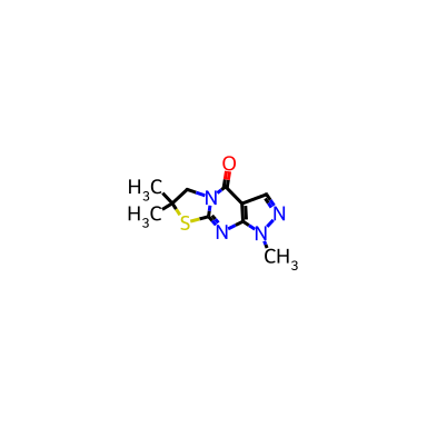 Cn1ncc2c(=O)n3c(nc21)SC(C)(C)C3